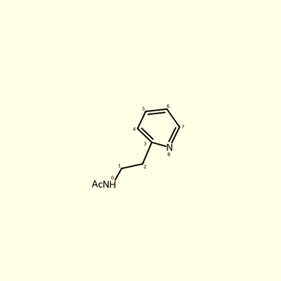 [CH2]C(=O)NCCc1ccccn1